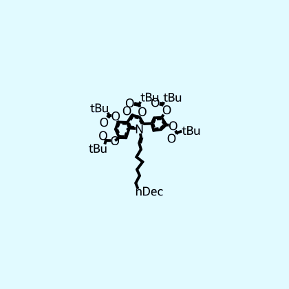 CCCCCCCCCCCCCCCCC=Cn1c(-c2ccc(OC(=O)C(C)(C)C)c(OC(=O)C(C)(C)C)c2)c(OC(=O)C(C)(C)C)c(=O)c2c(OC(=O)C(C)(C)C)cc(OC(=O)C(C)(C)C)cc21